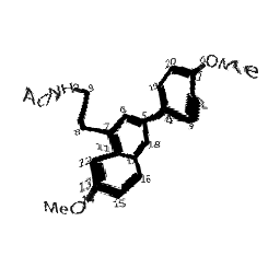 COc1ccc(-c2cc(CCNC(C)=O)c3cc(OC)ccc3c2)cc1